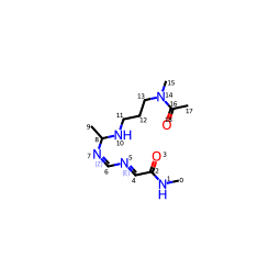 CNC(=O)/C=N/C=N\C(C)NCCCN(C)C(C)=O